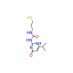 CC(C)c1cc(=O)nc(NC(=O)NCCCS)[nH]1